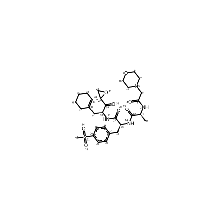 C[C@H](NC(=O)CN1CCOCC1)C(=O)N[C@@H](Cc1ccc(S(C)(=O)=O)cc1)C(=O)N[C@@H](CC1=CCCCC1)C(=O)[C@@]1(C)CO1